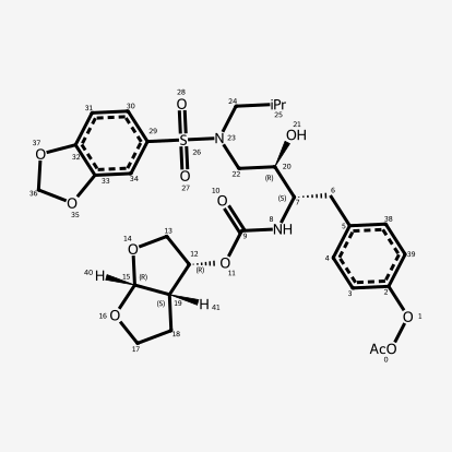 CC(=O)OOc1ccc(C[C@H](NC(=O)O[C@H]2CO[C@H]3OCC[C@H]32)[C@H](O)CN(CC(C)C)S(=O)(=O)c2ccc3c(c2)OCO3)cc1